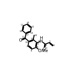 C=CC(=O)Nc1c(OC)ccc(C(=O)c2ccccc2)c1C